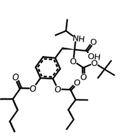 CCCC(C)C(=O)Oc1ccc(C[C@](NC(C)C)(OC(=O)OC(C)(C)C)C(=O)O)cc1OC(=O)C(C)CCC